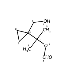 CC(C)(OC=O)C1(CO)CC1